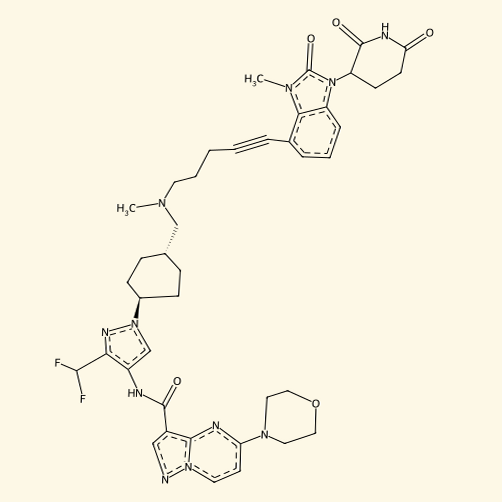 CN(CCCC#Cc1cccc2c1n(C)c(=O)n2C1CCC(=O)NC1=O)C[C@H]1CC[C@H](n2cc(NC(=O)c3cnn4ccc(N5CCOCC5)nc34)c(C(F)F)n2)CC1